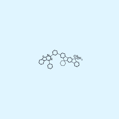 CC1(C)c2ccccc2-c2cc3c(cc21)-c1ccc(-c2cccc(-c4nc(-c5ccccc5)c5c(n4)sc4ccccc45)c2)cc1C31CCCCC1